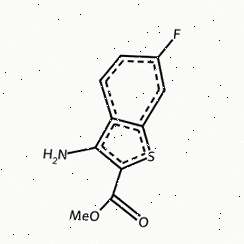 COC(=O)c1sc2cc(F)ccc2c1N